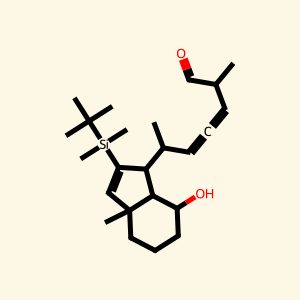 CC(C=O)C=C=CC(C)C1C([Si](C)(C)C(C)(C)C)=CC2(C)CCCC(O)C12